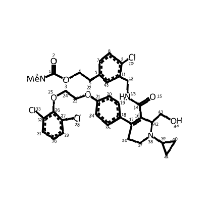 CNC(=O)OCCc1ccc(Cl)c(CNC(=O)C2=C(c3ccc(OCCOc4c(Cl)cccc4Cl)cc3)CCN(C3CC3)C2CO)c1